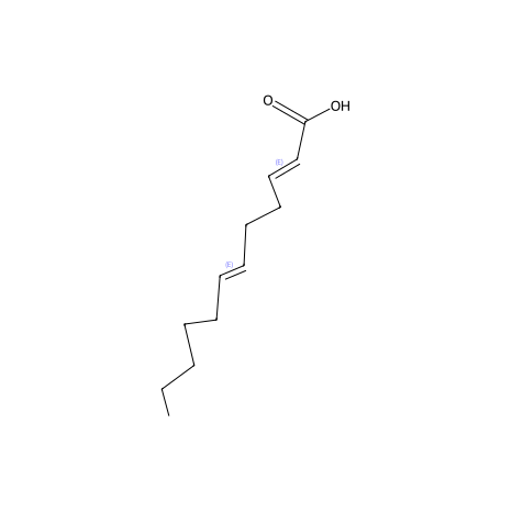 CCCCC/C=C/CC/C=C/C(=O)O